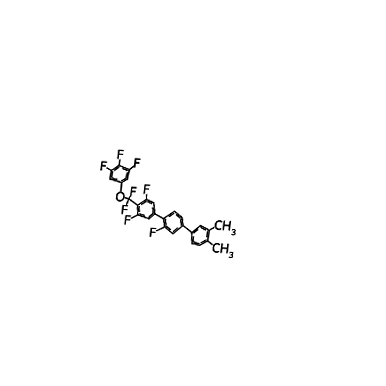 Cc1ccc(-c2ccc(-c3cc(F)c(C(F)(F)Oc4cc(F)c(F)c(F)c4)c(F)c3)c(F)c2)cc1C